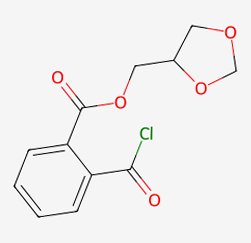 O=C(Cl)c1ccccc1C(=O)OCC1COCO1